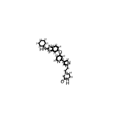 O=C1CN(CCn2cc(-c3cc(Oc4ccc5nc(NC6CCCCC6)sc5c4)ccn3)cn2)CCN1